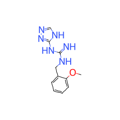 COc1ccccc1CNC(=N)Nc1nnc[nH]1